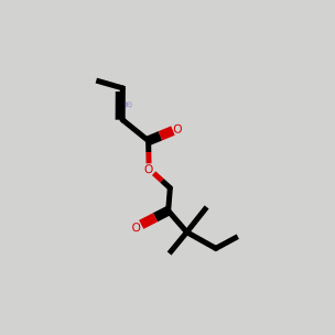 C/C=C/C(=O)OCC(=O)C(C)(C)CC